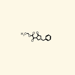 CCOC(=O)C(=O)C1CN(Cc2ccccc2)CC1=O